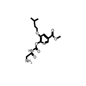 COC(=O)c1cnc(OC(=O)NC(=O)CN)c(OCCC(C)C)c1